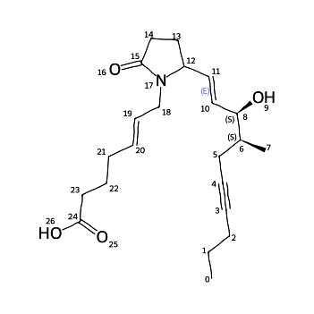 CCCC#CC[C@H](C)[C@H](O)/C=C/C1CCC(=O)N1CC=CCCCC(=O)O